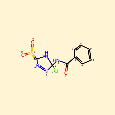 O=C(NC1(Cl)N=NC(=S(=O)=O)N1)c1ccccc1